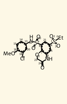 CCS(=O)(=O)c1cc2c(c(S(=O)(=O)Nc3ccc(OC)c(Cl)c3)c1)OCC(=O)N2